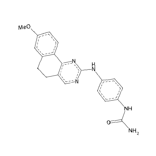 COc1ccc2c(c1)CCc1cnc(Nc3ccc(NC(N)=O)cc3)nc1-2